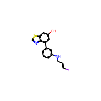 Oc1cc(-c2cccc(NC/C=C/I)c2)c2ncsc2c1